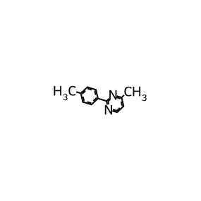 Cc1ccc(-c2nccc(C)n2)cc1